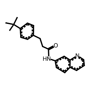 CC(C)(C)c1ccc(CCC(=O)Nc2ccc3cccnc3c2)cc1